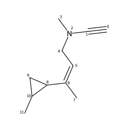 C#CN(C)C/C=C(/C)C1CC1C